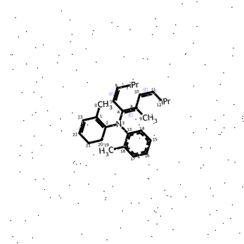 CC1=C(N(C(/C=C\C(C)C)=C(C)/C=C\C(C)C)c2ccccc2C)CCC=C1